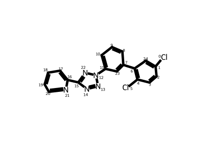 Clc1ccc(Cl)c(-c2cccc(-n3nnc(-c4ccccn4)n3)c2)c1